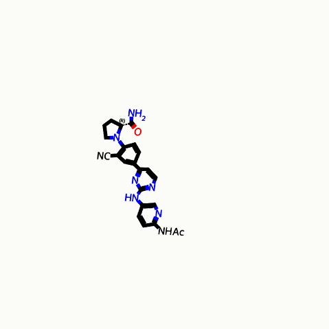 CC(=O)Nc1ccc(Nc2nccc(-c3ccc(N4CCC[C@@H]4C(N)=O)c(C#N)c3)n2)cn1